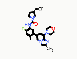 Cc1cc(F)c(NC(=O)N2CC[C@@H](CC(F)(F)F)C2)cc1-c1cc(N2CCOCC2)c2nc(C(F)(F)F)cn2c1